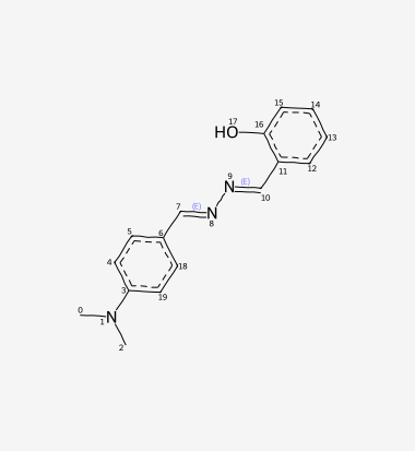 CN(C)c1ccc(/C=N/N=C/c2ccccc2O)cc1